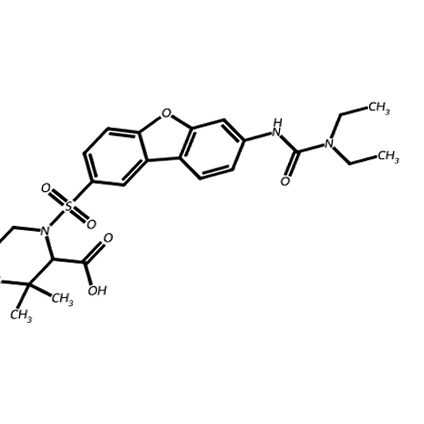 CCN(CC)C(=O)Nc1ccc2c(c1)oc1ccc(S(=O)(=O)N3CCSC(C)(C)C3C(=O)O)cc12